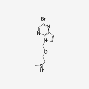 C[SiH](C)CCOCn1ccc2nc(Br)cnc21